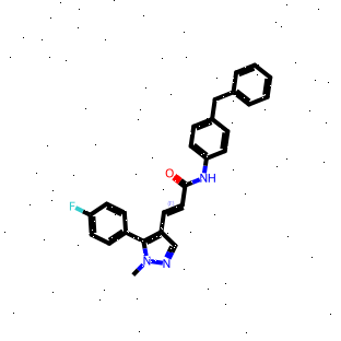 Cn1ncc(/C=C/C(=O)Nc2ccc(Cc3ccccc3)cc2)c1-c1ccc(F)cc1